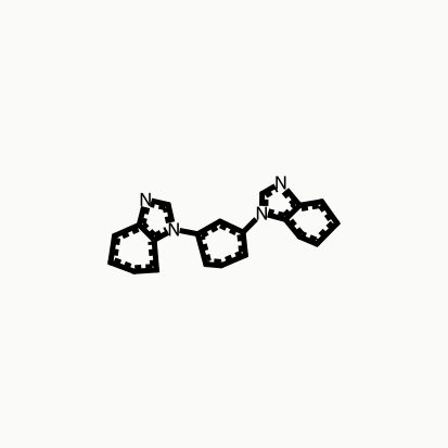 c1cc(-n2cnc3ccccc32)cc(-n2cnc3ccccc32)c1